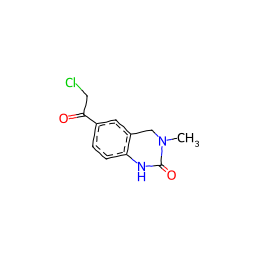 CN1Cc2cc(C(=O)CCl)ccc2NC1=O